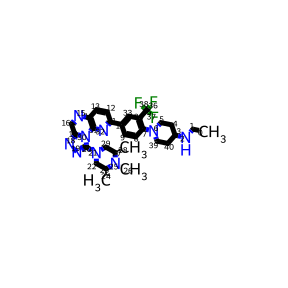 CCNC1CCN(c2ccc(-c3ccc4ncc5nnc(N6C[C@@H](C)N(C)[C@@H](C)C6)n5c4n3)cc2C(F)(F)F)CC1